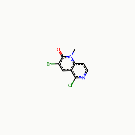 Cn1c(=O)c(Br)cc2c(Cl)nccc21